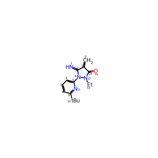 C=C1C(=N)N(c2cccc(C(C)(C)C)n2)N(CC)C1=O